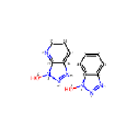 On1nnc2ccccc21.On1nnc2cccnc21